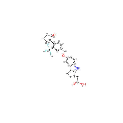 O=C(O)C[C@H]1CCc2c1[nH]c1ccc(OCc3ccc([C@H]4CCCC4=O)c(C(F)(F)F)c3)cc21